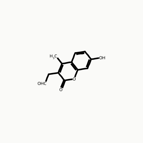 Cc1c(CC=O)c(=O)oc2cc(O)ccc12